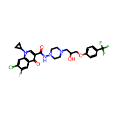 O=C(NN1CCN(CC(O)COc2ccc(C(F)(F)F)cc2)CC1)c1cn(C2CC2)c2cc(Cl)c(F)cc2c1=O